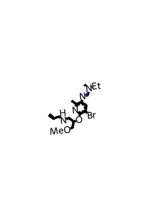 C=CCNCC(COC)Oc1nc(C)c(/N=C/N(C)CC)cc1Br